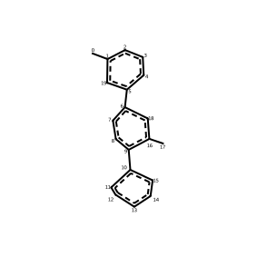 Cc1cccc(-c2ccc(-c3ccccc3)c(C)c2)c1